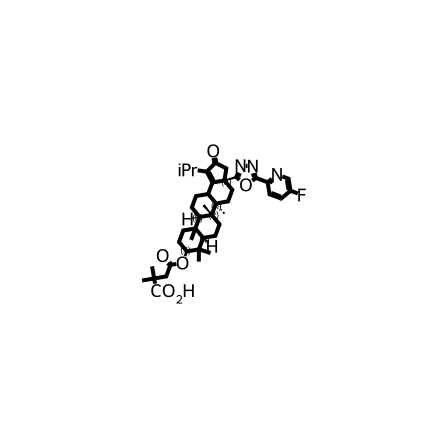 CC(C)C1=C2C3CC[C@@H]4C5(C)CC[C@H](OC(=O)CC(C)(C)C(=O)O)C(C)(C)[C@@H]5CC[C@@]4(C)[C@]3(C)CC[C@@]2(c2nnc(-c3ccc(F)cn3)o2)CC1=O